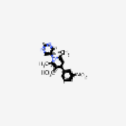 CC1=CC(c2cccc([N+](=O)[O-])c2)C(C(=O)O)=C(C)N1c1cncnc1